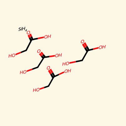 O=C(O)CO.O=C(O)CO.O=C(O)CO.O=C(O)CO.[SiH4]